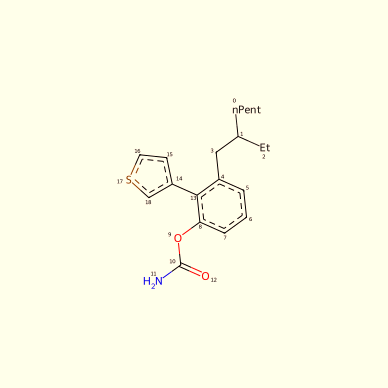 CCCCCC(CC)Cc1cccc(OC(N)=O)c1-c1ccsc1